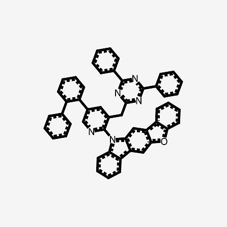 c1ccc(-c2nc(Cc3cc(-c4ccccc4-c4ccccc4)cnc3-n3c4ccccc4c4cc5oc6ccccc6c5cc43)nc(-c3ccccc3)n2)cc1